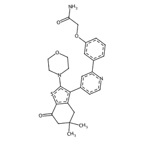 CC1(C)CC(=O)c2sc(N3CCOCC3)c(-c3ccnc(-c4cccc(OCC(N)=O)c4)c3)c2C1